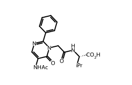 CC(=O)Nc1cnc(-c2ccccc2)n(CC(=O)N[C@H](C(=O)O)C(C)C)c1=O